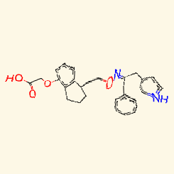 O=C(O)COc1cccc2c1CCCC2CON=C(Cc1cc[nH]c1)c1ccccc1